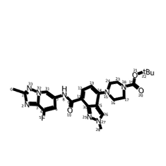 Cc1nc2c(F)cc(NC(=O)c3ccc(N4CCN(C(=O)OC(C)(C)C)CC4)c4cn(C)nc34)cn2n1